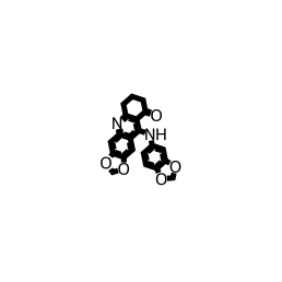 O=C1CCCc2nc3cc4c(cc3c(Nc3ccc5c(c3)OCO5)c21)OCO4